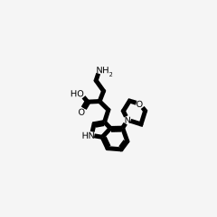 NCCC(Cc1c[nH]c2cccc(N3CCOCC3)c12)C(=O)O